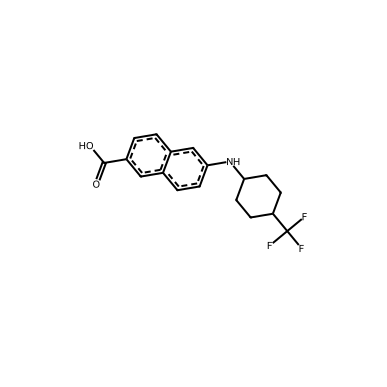 O=C(O)c1ccc2cc(NC3CCC(C(F)(F)F)CC3)ccc2c1